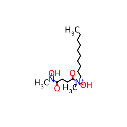 CCCCCCCCCC[N+](C)(O)C(=O)CCC(=O)N(C)O